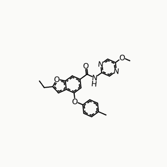 CCc1cc2c(Oc3ccc(C)cc3)cc(C(=O)Nc3cnc(OC)cn3)cc2o1